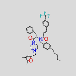 CCCCCc1ccc(CN(C(=O)/C=C/c2ccc(C(F)(F)F)cc2)[C@@H](Cc2ccccc2)C(=O)N2CCN(Cc3cc(C)c(C)o3)CC2)cc1